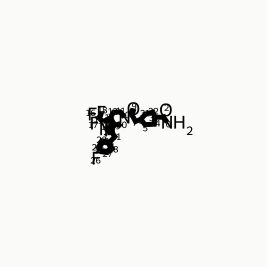 NC(=O)C1CCC(CC(=O)N2CCc3c(C(F)(F)F)nn(Cc4ccc(F)cc4)c3C2)CC1